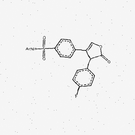 CC(=O)NS(=O)(=O)c1ccc(C2=COC(=O)C2c2ccc(F)cc2)cc1